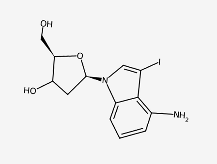 Nc1cccc2c1c(I)cn2[C@H]1CC(O)[C@@H](CO)O1